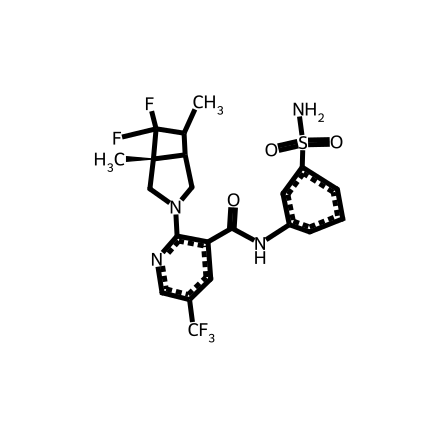 CC1C2CN(c3ncc(C(F)(F)F)cc3C(=O)Nc3cccc(S(N)(=O)=O)c3)C[C@]2(C)C1(F)F